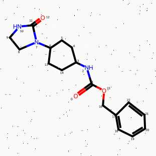 O=C(NC1CCC(N2CCNC2=O)CC1)OCc1ccccc1